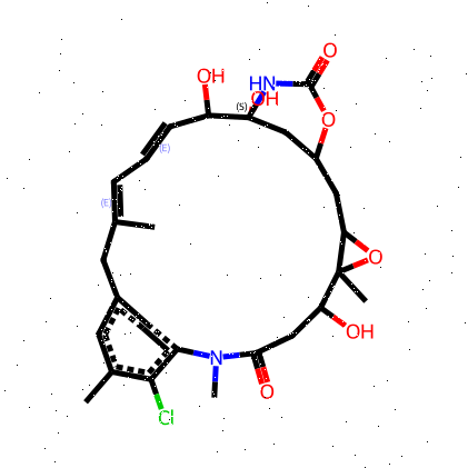 C/C1=C\C=C\C(O)[C@@]2(O)CC(CC3OC3(C)C(O)CC(=O)N(C)c3cc(cc(C)c3Cl)C1)OC(=O)N2